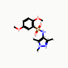 COc1ccc(OC)c(S(=O)(=O)Nc2c(C)nn(C)c2C)c1